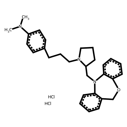 CN(C)c1ccc(CCCN2CCCC2CN2c3ccccc3COc3ccccc32)cc1.Cl.Cl